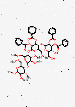 CCCCOCC1O[C@@H](O[C@@H]2C(COCCCC)O[C@H](O[C@H]3C(COCCCC)O[C@H](OCCC)C(OCCCC)[C@H]3OCCCC)C(OCCCC)[C@H]2OCCCC)[C@@H](OC(=O)c2ccccc2)C(OC(=O)c2ccccc2)[C@@H]1O[C@@H]1OC(CO)[C@@H](O)C(OC(=O)c2ccccc2)[C@@H]1OC(=O)c1ccccc1